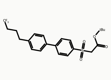 CC(C)(C)OC(=O)CS(=O)(=O)c1ccc(-c2ccc(CCCC(F)(F)F)cc2)cc1